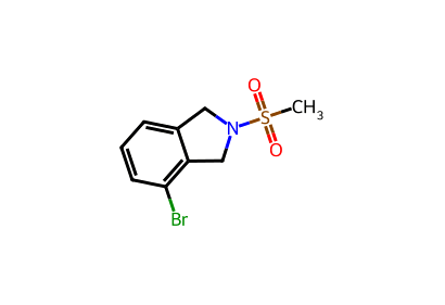 CS(=O)(=O)N1Cc2cccc(Br)c2C1